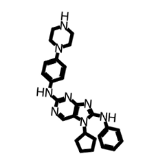 c1ccc(Nc2nc3nc(Nc4ccc(N5CCNCC5)cc4)ncc3n2C2CCCC2)cc1